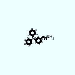 N/N=C/c1cccc(N(c2ccccc2)c2ccccc2)c1